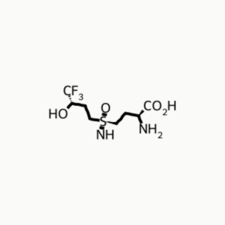 N=[S@](=O)(CC[C@H](N)C(=O)O)CC[C@H](O)C(F)(F)F